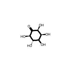 O=C1[C@@H](O)[C@@H](O)C(O)[C@H](O)[C@H]1O